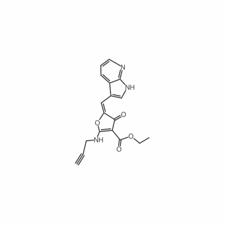 C#CCNC1=C(C(=O)OCC)C(=O)C(=Cc2c[nH]c3ncccc23)O1